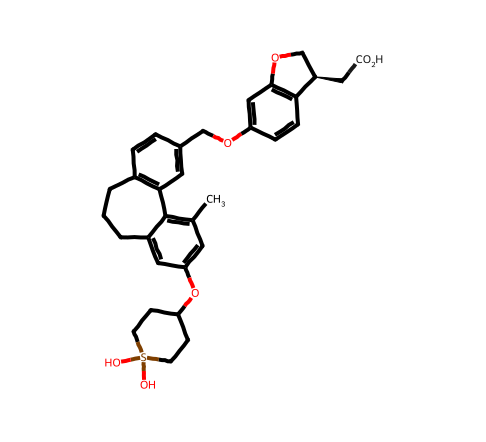 Cc1cc(OC2CCS(O)(O)CC2)cc2c1-c1cc(COc3ccc4c(c3)OC[C@H]4CC(=O)O)ccc1CCC2